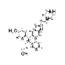 CC1C=CC(/C(=C(\CCCO)c2ccccc2)c2ccc3oc(CCN4CCNCC4)cc3c2)=CC1